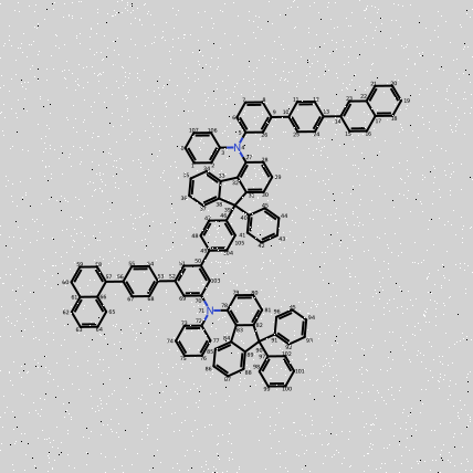 c1ccc(N(c2cccc(-c3ccc(-c4ccc5ccccc5c4)cc3)c2)c2cccc3c2-c2ccccc2C3(c2ccccc2)c2ccc(-c3cc(-c4ccc(-c5cccc6ccccc56)cc4)cc(N(c4ccccc4)c4cccc5c4-c4ccccc4C5(c4ccccc4)c4ccccc4)c3)cc2)cc1